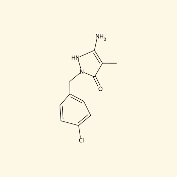 Cc1c(N)[nH]n(Cc2ccc(Cl)cc2)c1=O